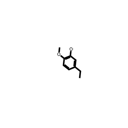 CCc1ccc(OC)c([O])c1